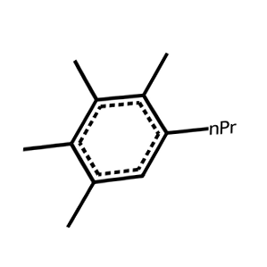 [CH2]CCc1cc(C)c(C)c(C)c1C